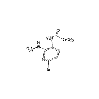 CC(C)(C)OC(=O)Nc1ncc(Br)nc1NN